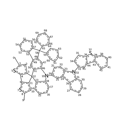 Cc1cc2c(s1)-c1sc(C)cc1C21c2ccccc2N(c2ccc3c(c2)c2ccccc2n3-c2ccc3sc4ccccc4c3c2)c2cc3c(cc21)-c1ccccc1C3(c1ccccc1)c1ccccc1